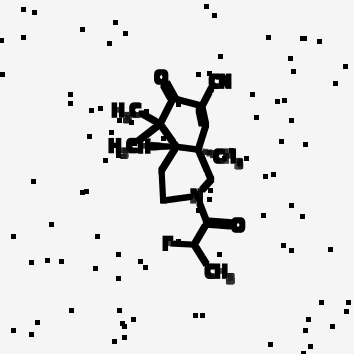 CC(F)C(=O)N1CC[C@@H]2C(C)(C)C(=O)C(C#N)=C[C@@]2(C)C1